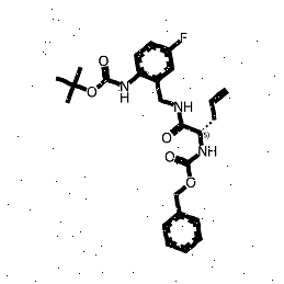 C=CC[C@H](NC(=O)OCc1ccccc1)C(=O)NCc1cc(F)ccc1NC(=O)OC(C)(C)C